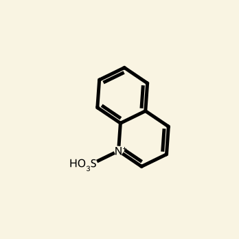 O=S(=O)(O)[n+]1cccc2ccccc21